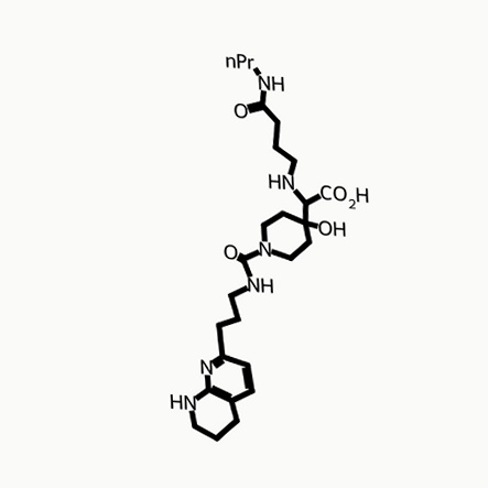 CCCNC(=O)CCCNC(C(=O)O)C1(O)CCN(C(=O)NCCCc2ccc3c(n2)NCCC3)CC1